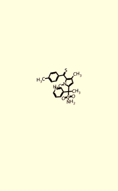 Cc1ccc(C(=S)c2c(C)cc(C(C)(c3cccnc3)S(N)(=O)=O)n2C)cc1